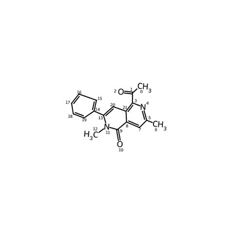 CC(=O)c1nc(C)cc2c(=O)n(C)c(-c3ccccc3)cc12